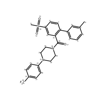 Cc1cccc(-c2ccc(S(C)(=O)=O)cc2C(=O)N2CCN(c3ccc(C(F)(F)F)cc3)CC2)c1